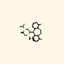 CC(C)N1CC(C2c3c#ccc(F)c3CCc3c(F)cccc32)N(C(N)=O)CC1=O